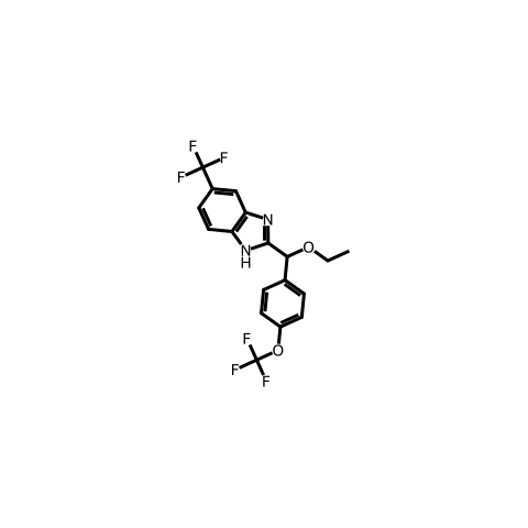 CCOC(c1ccc(OC(F)(F)F)cc1)c1nc2cc(C(F)(F)F)ccc2[nH]1